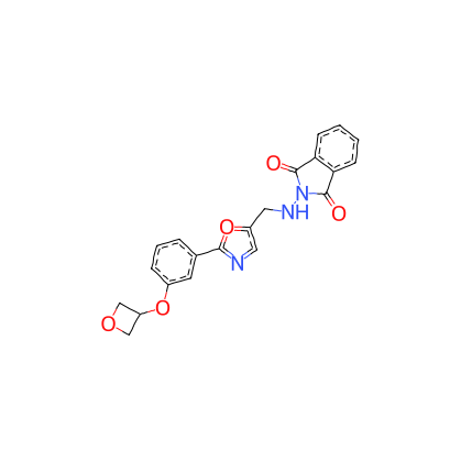 O=C1c2ccccc2C(=O)N1NCc1cnc(-c2cccc(OC3COC3)c2)o1